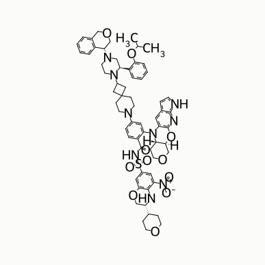 CC(C)Oc1ccccc1[C@@H]1CN([C@H]2COCc3ccccc32)CCN1C1CC2(CCN(c3ccc(C(=O)NS(=O)(=O)c4cc5c(c([N+](=O)[O-])c4)N[C@H](C4CCOCC4)CO5)c(N4c5cc6cc[nH]c6nc5O[C@H]5COCC[C@@H]54)c3)CC2)C1